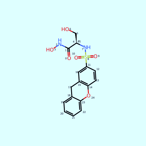 O=C(NO)[C@@H](CO)NS(=O)(=O)c1ccc2c(c1)Cc1ccccc1O2